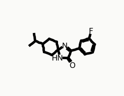 CC(C)C1CCC2(CC1)N=C(c1cccc(F)c1)C(=O)N2